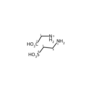 NCC(=O)O.NCCS(=O)(=O)O